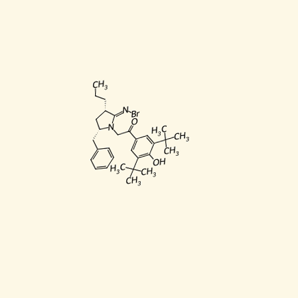 CCC[C@H]1C[C@@H](Cc2ccccc2)N(CC(=O)c2cc(C(C)(C)C)c(O)c(C(C)(C)C)c2)/C1=N\Br